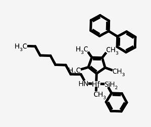 CCCCCCCC[NH][Hf]([CH3])([SiH2]c1ccccc1)[C]1=C(C)C(C)=C(C)C1C.c1ccc(-c2ccccc2)cc1